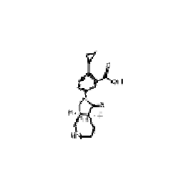 O=C(O)c1cc(N2C[C@@H]3CNCC[C@]3(F)C2=O)ccc1C1CC1